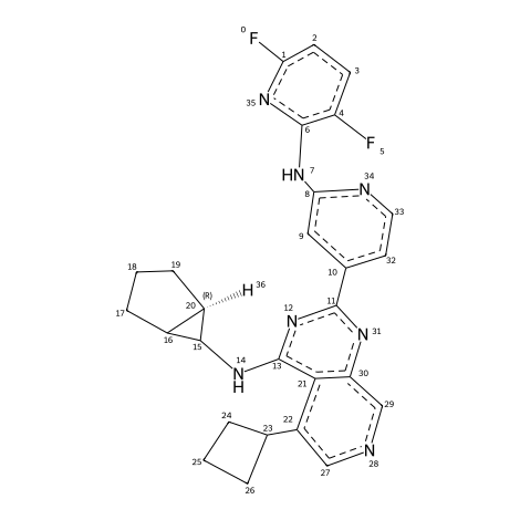 Fc1ccc(F)c(Nc2cc(-c3nc(NC4C5CCC[C@H]54)c4c(C5CCC5)cncc4n3)ccn2)n1